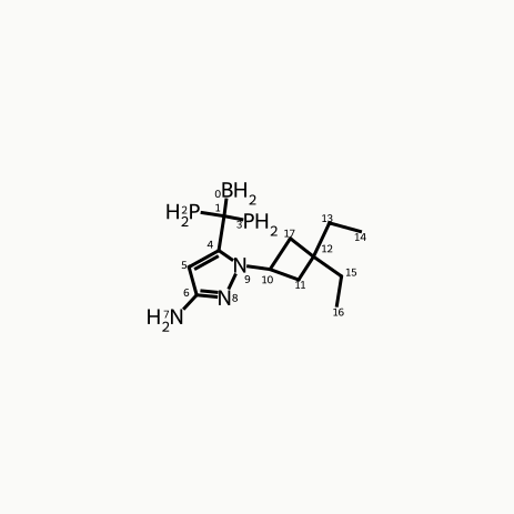 BC(P)(P)c1cc(N)nn1C1CC(CC)(CC)C1